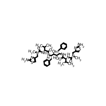 CC(C)[C@H](NC(=O)N(C)Cc1csc(N)n1)C(=O)N[C@@H](Cc1ccccc1)[C@H](O)[C@H](O)[C@H](Cc1ccccc1)NC(=O)[C@@H](NC(=O)N(C)Cc1csc(N)n1)C(C)C